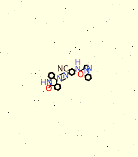 N#Cc1cc(NC(=O)c2ccnn2-c2ccccc2)ccc1N1CCN(C2c3ccccc3NC(=O)c3ccccc32)CC1